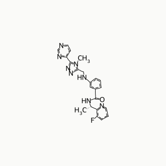 C[C@H](NC(=O)c1cccc(NCc2nnc(-c3ccncn3)n2C)c1)c1ncccc1F